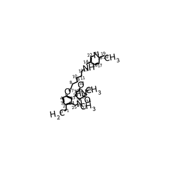 C=Cc1ccc(OCCCCCCNCc2ccc(CC)nc2)cc1CN(C)C(CCC=O)C(=O)NC